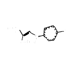 CCOC(=O)C(=CNc1ccc(CC)cc1)C(=O)OCC